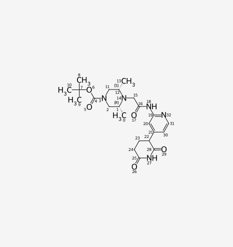 C[C@@H]1CN(C(=O)OC(C)(C)C)C[C@H](C)N1CC(=O)Nc1cc(C2CCC(=O)NC2=O)ccn1